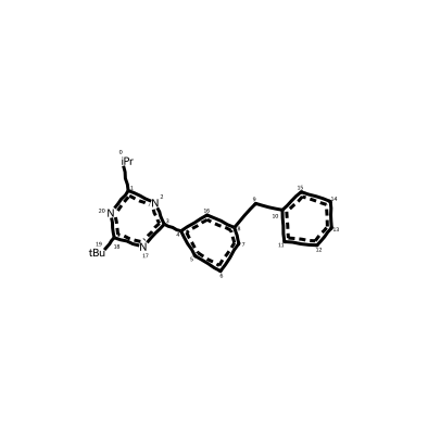 CC(C)c1nc(-c2cccc(Cc3ccccc3)c2)nc(C(C)(C)C)n1